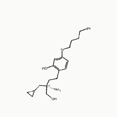 CC(C)CCCCOc1ccc(CC[C@@](N)(CO)CC2CC2)c(O)c1